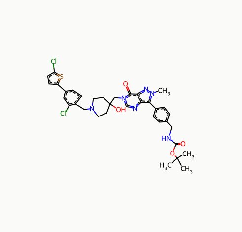 Cn1nc2c(=O)n(CC3(O)CCN(Cc4ccc(-c5ccc(Cl)s5)cc4Cl)CC3)cnc2c1-c1ccc(CNC(=O)OC(C)(C)C)cc1